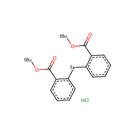 CC(C)(C)OC(=O)c1ccccc1[Te]c1ccccc1C(=O)OC(C)(C)C.Cl